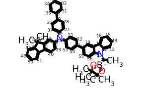 CC(B1OC(C)(C)C(C)(C)O1)n1c2ccccc2c2cc(-c3ccc(N(c4ccc(-c5ccccc5)cc4)c4ccc5c(c4)C(C)(C)c4ccccc4-5)cc3)ccc21